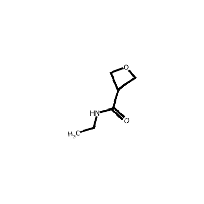 CCNC(=O)C1COC1